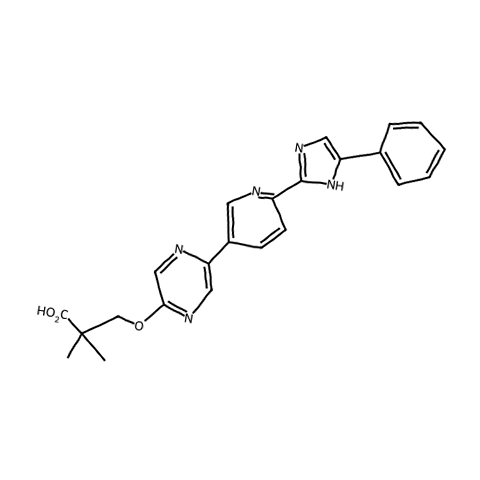 CC(C)(COc1cnc(-c2ccc(-c3ncc(-c4ccccc4)[nH]3)nc2)cn1)C(=O)O